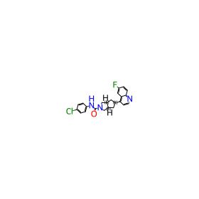 O=C(Nc1ccc(Cl)cc1)N1C[C@H]2C[C@@H](c3ccnc4ccc(F)cc34)C[C@H]2C1